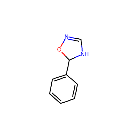 C1=NOC(c2ccccc2)N1